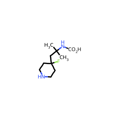 CC(C)(CC1(F)CCNCC1)NC(=O)O